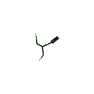 C#CC(CF)CF